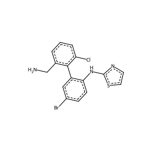 NCc1cccc(Cl)c1-c1cc(Br)ccc1Nc1nccs1